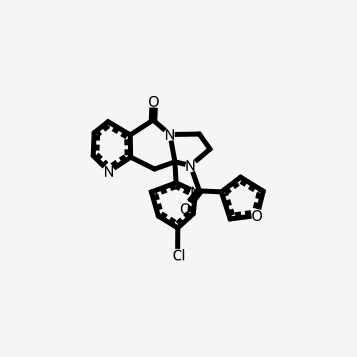 O=C(c1ccoc1)N1CCN2C(=O)c3cccnc3CC12c1ccc(Cl)cn1